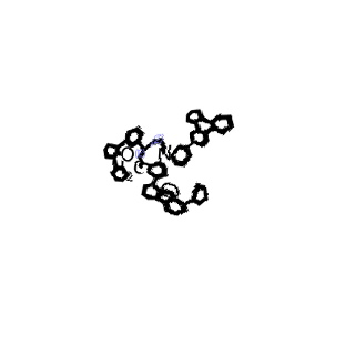 C=C1/C=C(c2cccc3c2oc2c(-c4ccccc4)cccc23)\C=C/CN(c2cccc(-c3ccc4c5ccccc5c5ccccc5c4c3)c2)c2ccc(-c3cccc4c3oc3c(-c5ccccc5)cccc34)cc21